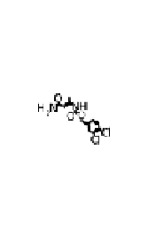 CC(=CC(N)=O)NC(=O)OCc1ccc(Cl)c(Cl)c1